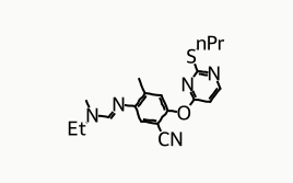 CCCSc1nccc(Oc2cc(C)c(N=CN(C)CC)cc2C#N)n1